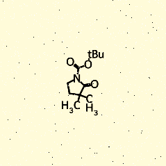 CC(C)(C)OC(=O)N1CCC(C)(C)C1=O